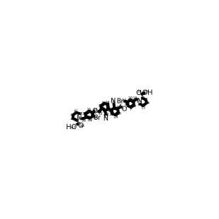 N#Cc1c(COc2ccc(CN3CCCC[C@H]3C(=O)O)cc2Br)cccc1-c1cccc(COc2ccc(CN3CCCC[C@H]3C(=O)O)cc2Br)c1C#N